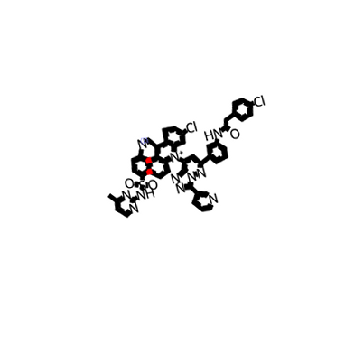 Cc1ccnc(NS(=O)(=O)c2ccc(/N=C\c3c4ccccc4[n+](-c4cc(-c5cccc(NC(=O)Cc6ccc(Cl)cc6)c5)nn5c(-c6cccnc6)nnc45)c4cc(Cl)ccc34)cc2)n1